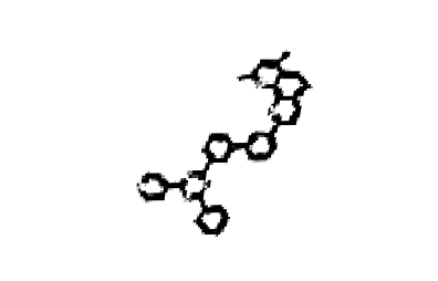 Cc1cc(C)c2ccc3ccc(-c4cccc(-c5cccc(-c6nc(-c7ccccc7)nc(-c7ccncc7)n6)c5)c4)nc3c2n1